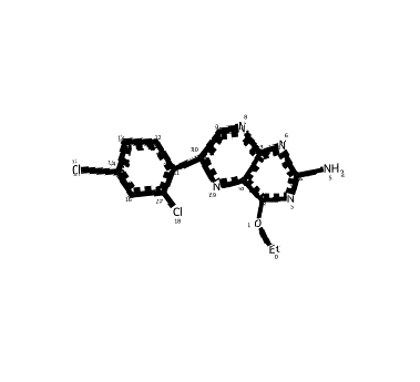 CCOc1nc(N)nc2ncc(-c3ccc(Cl)cc3Cl)nc12